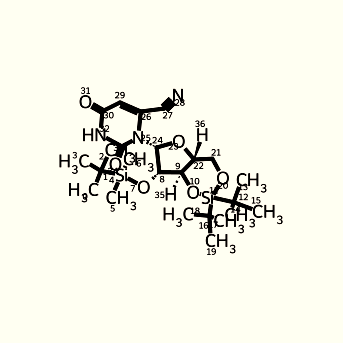 CC(C)(C)[Si](C)(C)O[C@H]1[C@@H]2O[Si](C(C)(C)C)(C(C)(C)C)OC[C@H]2O[C@H]1n1c(C#N)cc(=O)[nH]c1=O